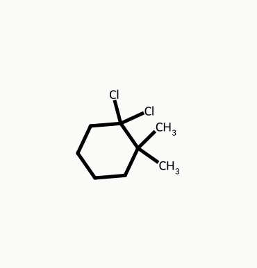 CC1(C)CCCCC1(Cl)Cl